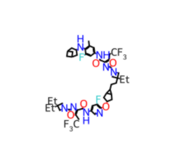 CCC1(CC)CN(c2nc(C(=O)Nc3cnc(OC4CC5C(CCC6(CC)CN(c7nc(C(=O)Nc8cc(C)c(NC9CC%10CC(C%10)C9)c(F)c8)c(CC(F)(F)F)o7)C6)C5C4)c(F)c3)c(CC(F)(F)F)o2)C1